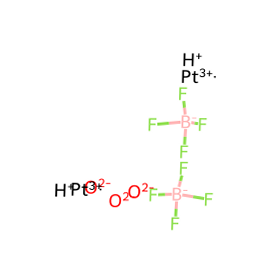 F[B-](F)(F)F.F[B-](F)(F)F.[H+].[H+].[O-2].[O-2].[O-2].[Pt+3].[Pt+3]